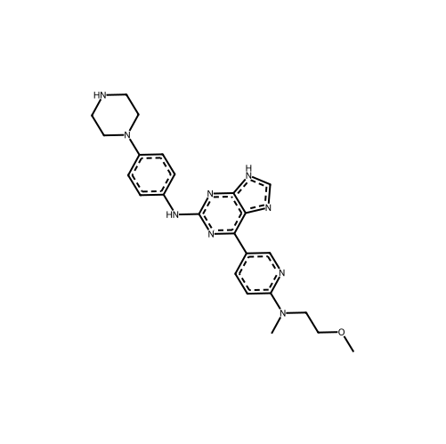 COCCN(C)c1ccc(-c2nc(Nc3ccc(N4CCNCC4)cc3)nc3[nH]cnc23)cn1